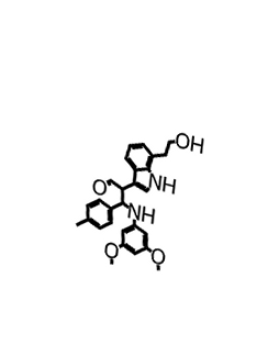 COc1cc(NC(c2ccc(C)cc2)C(C=O)c2c[nH]c3c(CCO)cccc23)cc(OC)c1